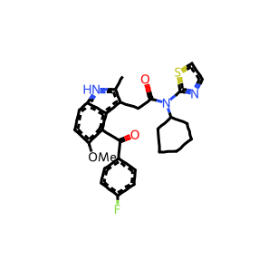 COc1ccc2[nH]c(C)c(CC(=O)N(c3nccs3)C3CCCCC3)c2c1C(=O)c1ccc(F)cc1